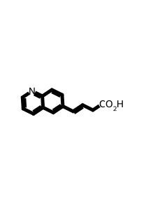 O=C(O)C/C=C/c1ccc2ncccc2c1